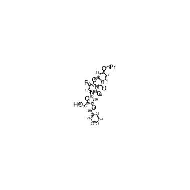 CCCOc1ccc(C(=O)n2c(=O)c(F)cn([C@H]3C[C@H](OCc4ccccc4)[C@@H](CO)O3)c2=O)cc1